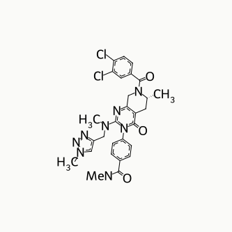 CNC(=O)c1ccc(-n2c(N(C)Cc3cn(C)nn3)nc3c(c2=O)C[C@@H](C)N(C(=O)c2ccc(Cl)c(Cl)c2)C3)cc1